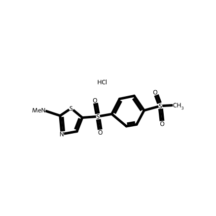 CNc1ncc(S(=O)(=O)c2ccc(S(C)(=O)=O)cc2)s1.Cl